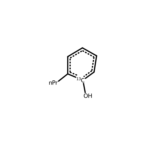 CCCc1cccc[13c]1O